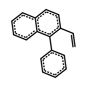 C=Cc1ccc2ccccc2c1-c1ccccc1